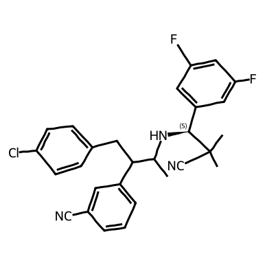 CC(N[C@@H](c1cc(F)cc(F)c1)C(C)(C)C#N)C(Cc1ccc(Cl)cc1)c1cccc(C#N)c1